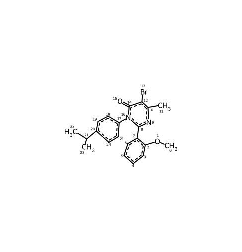 COc1ccccc1-c1nc(C)c(Br)c(=O)n1-c1ccc(C(C)C)cc1